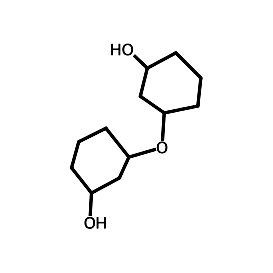 OC1CCCC(OC2CCCC(O)C2)C1